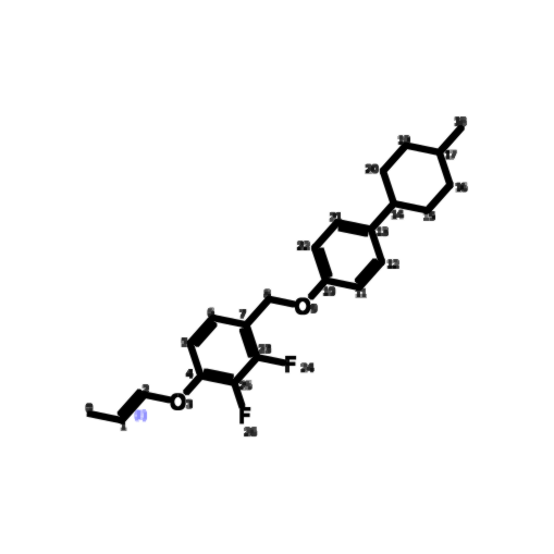 C/C=C/Oc1ccc(COc2ccc(C3CCC(C)CC3)cc2)c(F)c1F